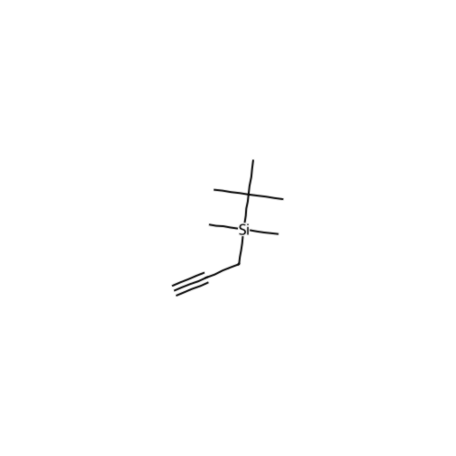 C#CC[Si](C)(C)C(C)(C)C